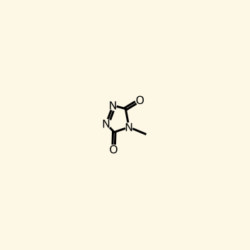 CN1C(=O)N=NC1=O